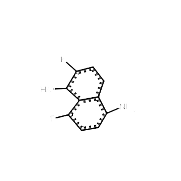 Nc1ccc(F)c2c(O)c(F)ccc12